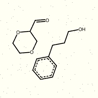 O=CC1COCCO1.OCCCc1ccccc1